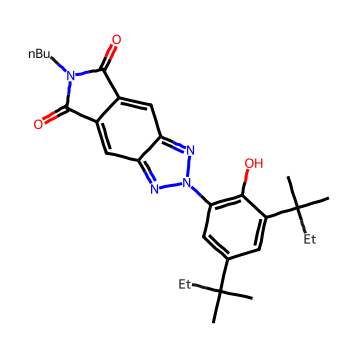 CCCCN1C(=O)c2cc3nn(-c4cc(C(C)(C)CC)cc(C(C)(C)CC)c4O)nc3cc2C1=O